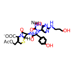 CC(=O)OCC1=C(C(=O)[O-])N2C(=O)C(NC(=O)C(c3ccc(O)cc3)N(C(N)=O)c3cnc(NCCCO)nc3O)[C@@H]2SC1.[Na+]